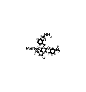 CNC(=O)N(C)N1CC(=O)N2[C@@H](Cc3ccc(N(C)C)cc3)C(=O)N(Cc3cccc4sc(N)nc34)C[C@@H]21